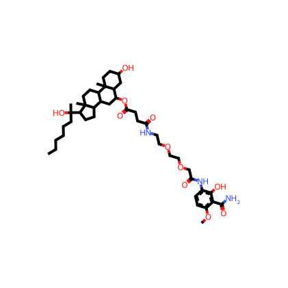 CCCCCCC(C)(O)C1CCC2C3CC(OC(=O)CCC(=O)NCCOCCOCC(=O)Nc4ccc(OC)c(C(N)=O)c4O)C4CC(O)CCC4(C)C3CCC21C